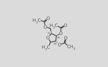 CC(=O)OC[C@@H]1OC(C)[C@@H](OC(C)=O)[C@@H]1OC(C)=O